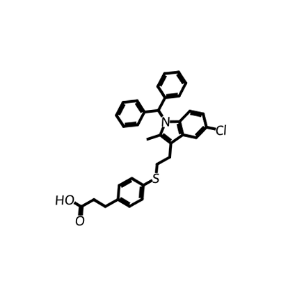 Cc1c(CCSc2ccc(CCC(=O)O)cc2)c2cc(Cl)ccc2n1C(c1ccccc1)c1ccccc1